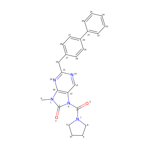 Cn1c(=O)n(C(=O)N2CCCC2)c2cnc(Cc3ccc(-c4ccccc4)cc3)nc21